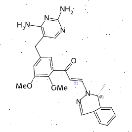 COc1cc(Cc2cnc(N)nc2N)cc(C(=O)/C=C/N2N=Cc3ccccc3[C@H]2C)c1OC